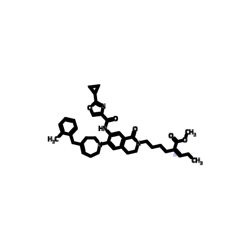 CC/C=C(/CCCCN1CCc2cc(N3CCC=C(Cc4ccccc4C)CC3)c(NC(=O)c3coc(C4CC4)n3)cc2C1=O)C(=O)OC